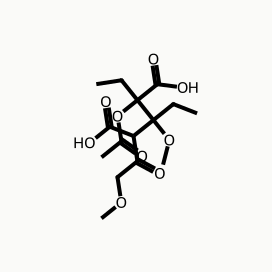 CCC(OC(C)=O)(C(=O)O)C(CC)(OC)C(C(=O)O)C(=O)COC